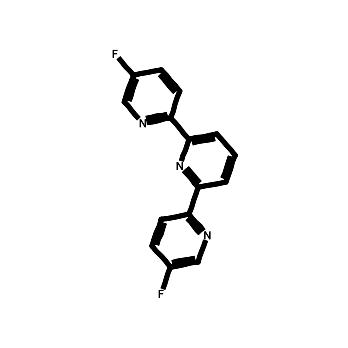 Fc1ccc(-c2cccc(-c3ccc(F)cn3)n2)nc1